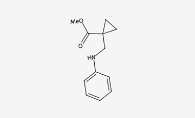 COC(=O)C1(CNc2ccccc2)CC1